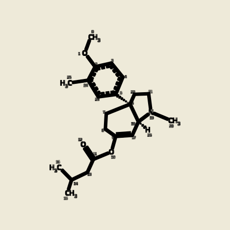 COc1ccc([C@@]23CCC(OC(=O)CC(C)C)=C[C@@H]2N(C)CC3)cc1C